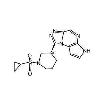 O=S(=O)(C1CC1)N1CCC[C@H](c2nnc3cnc4[nH]ccc4n23)C1